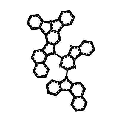 c1ccc2c(c1)ccc1c2c2ccccc2n1-c1nc(-n2c3cc4c5ccccc5n5c6ccccc6c(c3c3ccc6ccccc6c32)c45)c2sc3ccccc3c2n1